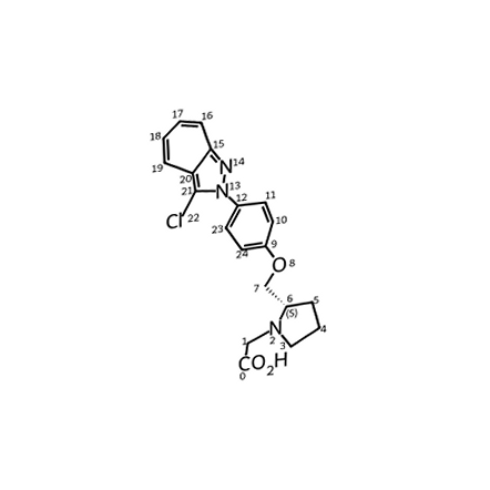 O=C(O)CN1CCC[C@H]1COc1ccc(-n2nc3ccccc3c2Cl)cc1